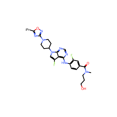 CC(C)c1nc(N2CCC(n3cc(F)c4c(Nc5ccc(C(=O)N(C)CCCO)cc5F)ncnc43)CC2)no1